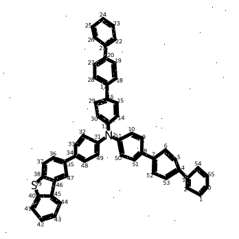 c1ccc(-c2ccc(-c3ccc(N(c4ccc(-c5ccc(-c6ccccc6)cc5)cc4)c4ccc(-c5ccc6sc7ccccc7c6c5)cc4)cc3)cc2)cc1